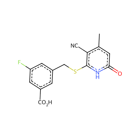 Cc1cc(=O)[nH]c(SCc2cc(F)cc(C(=O)O)c2)c1C#N